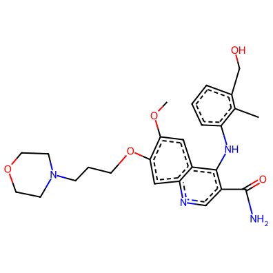 COc1cc2c(Nc3cccc(CO)c3C)c(C(N)=O)cnc2cc1OCCCN1CCOCC1